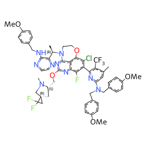 COc1ccc(CNc2nccnc2[C@@H](C)N2CCOc3c(Cl)c(-c4nc(N(Cc5ccc(OC)cc5)Cc5ccc(OC)cc5)cc(C)c4C(F)(F)F)c(F)c4nc(OC[C@@H]5C[C@]6(CN5C)CC6(F)F)nc2c34)cc1